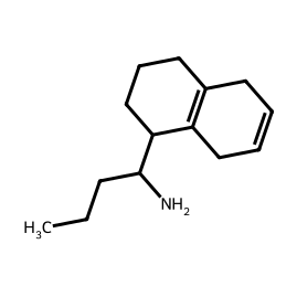 CCCC(N)C1CCCC2=C1CC=CC2